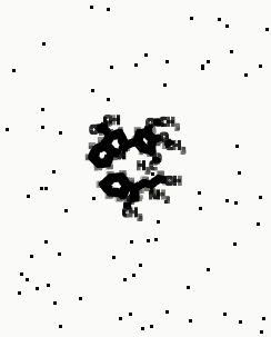 COc1cc(-c2cc(C(=O)O)c3ccccc3n2)cc(OC)c1OC.Cn1cc(C[C@@H](N)CO)c2ccccc21